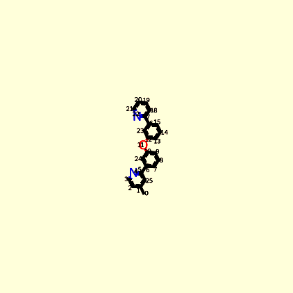 Cc1ccnc(-c2cccc(Oc3cccc(-c4ccccn4)c3)c2)c1